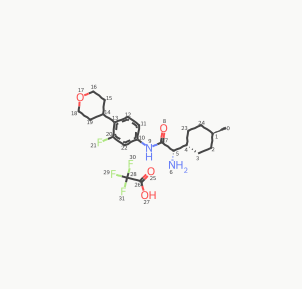 C[C@H]1CC[C@H]([C@H](N)C(=O)Nc2ccc(C3CCOCC3)c(F)c2)CC1.O=C(O)C(F)(F)F